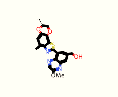 [CH2][C@@H]1COc2c(cc(C)c3nc(-c4cc(CO)cc5nc(OC)cnc45)sc23)O1